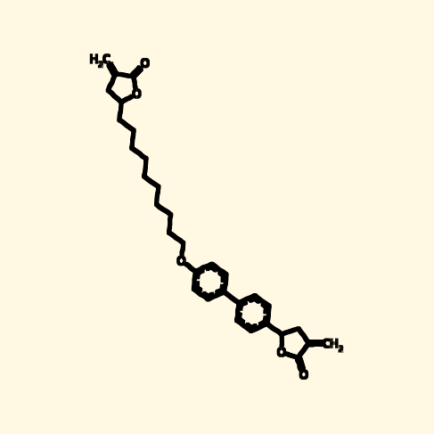 C=C1CC(CCCCCCCCCCOc2ccc(-c3ccc(C4CC(=C)C(=O)O4)cc3)cc2)OC1=O